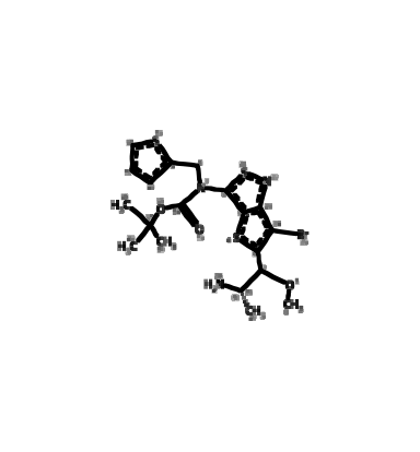 COC(c1sc2c(N(Cc3cccs3)C(=O)OC(C)(C)C)snc2c1Br)[C@H](C)N